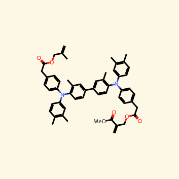 C=C(C)COC(=O)Cc1ccc(N(c2ccc(C)c(C)c2)c2ccc(-c3ccc(N(c4ccc(CC(=O)OCC(=C)C(=O)OC)cc4)c4ccc(C)c(C)c4)c(C)c3)cc2C)cc1